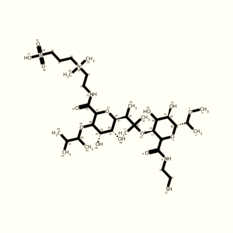 COC(C)[C@@H]1OC(C(=O)NCCS)[C@@H](OC(C)(C)C(C)[C@@H]2OC(C(=O)NCC[N+](C)(C)CCCS(=O)(=O)O)C(OC(C)C(C)C)[C@@H](O)[C@H]2O)C(O)[C@H]1O